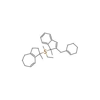 CCS(C)(C1(C)CCC2=C1C=CCCC2)C1(C)C(CC2=CCCCC2)=Cc2ccccc21